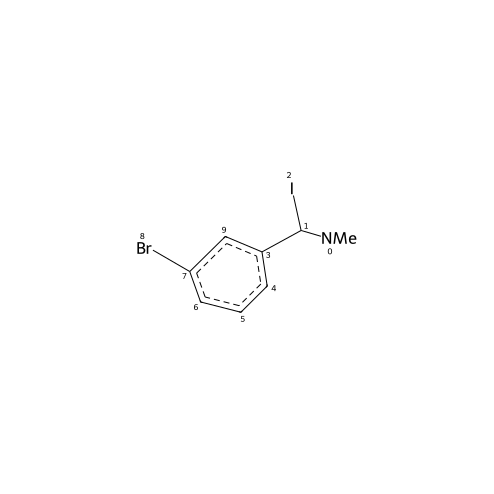 CNC(I)c1cccc(Br)c1